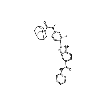 CN(C(=O)C12CC3CC(CC(C3)C1)C2)c1ccc(-c2nc3cc(C(=O)Nc4ccccn4)ccc3[nH]2)c(F)c1